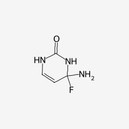 NC1(F)C=CNC(=O)N1